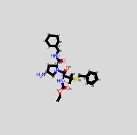 CCOC(=O)N[C@@H](C(=O)N1C[C@H](N)C[C@H]1C(=O)NCC1CCCCC1)C(C)(C)SCc1ccccc1